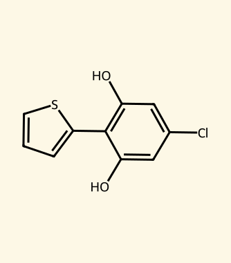 Oc1cc(Cl)cc(O)c1-c1cccs1